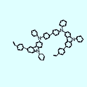 C=Cc1ccc(-c2ccc3c(c2)c2cc(N(c4ccccc4)c4ccc(-c5ccc(N(c6ccccc6)c6ccc7c(c6)c6cc(-c8ccc(C=C)cc8)ccc6n7C6C=CC=CC6)cc5)cc4)ccc2n3-c2ccccc2)cc1